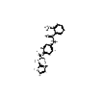 Cc1ccccc1C(=O)Nc1ccc(S(=O)(=O)Nc2nccs2)cc1